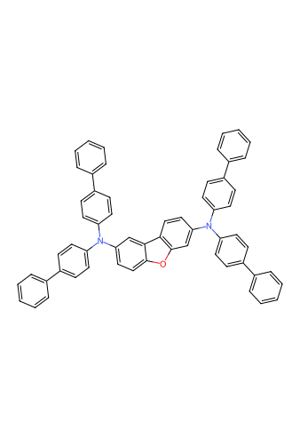 c1ccc(-c2ccc(N(c3ccc(-c4ccccc4)cc3)c3ccc4c(c3)oc3ccc(N(c5ccc(-c6ccccc6)cc5)c5ccc(-c6ccccc6)cc5)cc34)cc2)cc1